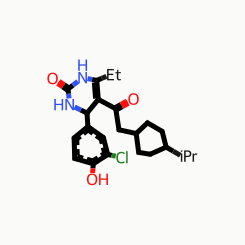 CCC1=C(C(=O)CC2CCC(C(C)C)CC2)C(c2ccc(O)c(Cl)c2)NC(=O)N1